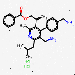 C=C(COC(=O)c1ccccc1)c1c(C)nc(CC(C)C)c(CN)c1-c1ccc(CN)cc1.Cl.Cl